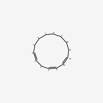 C1=CCC=CCCCCCCCC=C1